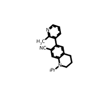 Cc1ncccc1-c1cc2c(cc1C#N)N(C(C)C)CCC2